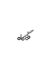 CC/N=C/NCCCCN(Cc1nccc2c1[nH]c1ccccc12)C1CCCc2cccnc21